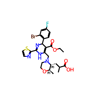 CCOC(=O)C1=C(CN2CCO[C@H](C)[C@H]2CC(C)C(=O)O)NC(c2nccs2)=NC1c1ccc(F)cc1Br